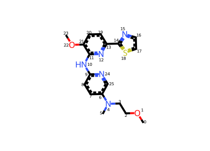 COCCN(C)c1ccc(Nc2nc(-c3nccs3)ccc2OC)nc1